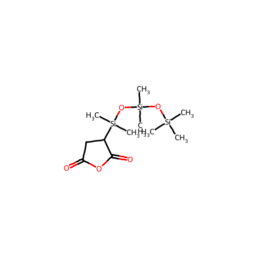 C[Si](C)(C)O[Si](C)(C)O[Si](C)(C)C1CC(=O)OC1=O